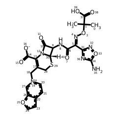 CC(C)(ON=C(C(=O)NC1C(=O)N2C(C(=O)[O-])=C(C[n+]3ccc4ccoc4c3)CS[C@@H]12)c1noc(N)n1)C(=O)O